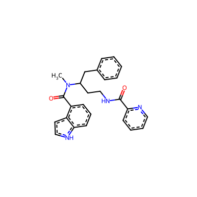 CN(C(=O)c1cccc2[nH]ccc12)C(CCNC(=O)c1ccccn1)Cc1ccccc1